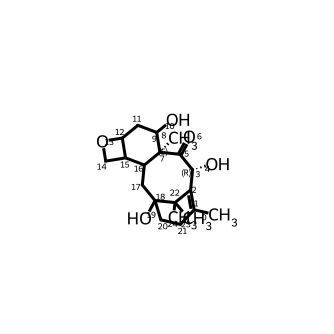 CC1=C2[C@@H](O)C(=O)[C@]3(C)C(O)CC4OCC4C3CC(O)(CC1)C2(C)C